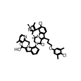 Cc1ccnc(Cn2c(C(=O)O)cc3cccc(N4C[C@@H](C)n5c(c(CCCOc6cc(C)c(Cl)c(C)c6)c6ccc(Cl)c(-c7c(C)nn(C)c7C)c65)C4=O)c32)c1